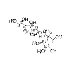 CC(C)(CO)CO.OCC(O)CO.OC[C@@H](O)[C@@H](O)[C@H](O)[C@@H](O)CO